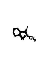 Cn1nc2c(c1I)CCCC2